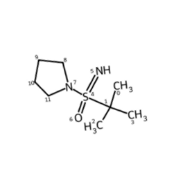 CC(C)(C)S(=N)(=O)N1CCCC1